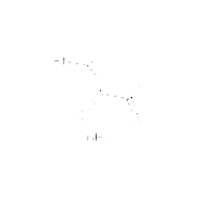 C=C(C)C(=O)OCC.[SnH2]